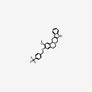 COc1cc2c(cc1OCc1ccc(C(F)(F)F)cc1)CCN1Cc3[nH]c4ccccc4c3CC21